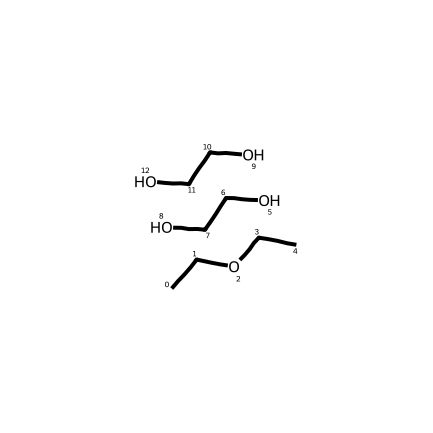 CCOCC.OCCO.OCCO